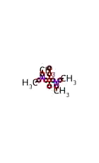 Cc1ccc(N(c2ccc(C)cc2)c2ccc3c(-c4ccc(-c5ccccc5)cc4)c4cc(N(c5ccc(C)cc5)c5ccc(C)cc5)ccc4c(-c4ccccc4)c3c2)cc1